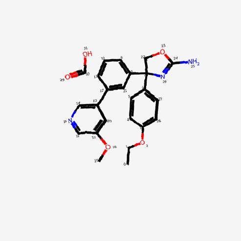 CCOc1ccc(C2(c3cccc(-c4cncc(OC)c4)c3)COC(N)=N2)cc1.O=CO